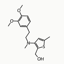 COc1ccc(CCN(C)c2cc(C)sc2CO)cc1OC